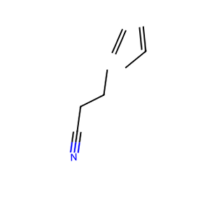 C=C.C=CC.CCCC#N